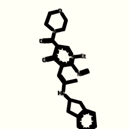 C=Nc1c(/C=C(\C)NC2Cc3ccccc3C2)c(=O)c(C(=O)N2CCOCC2)cn1CC